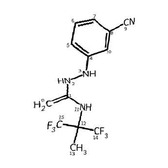 C=C(NNc1cccc(C#N)c1)NC(C)(C(F)(F)F)C(F)(F)F